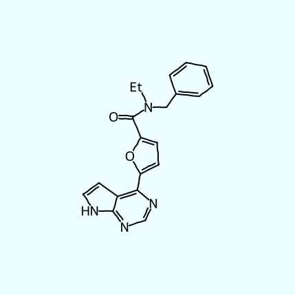 CCN(Cc1ccccc1)C(=O)c1ccc(-c2ncnc3[nH]ccc23)o1